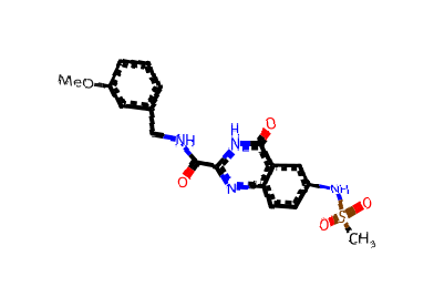 COc1cccc(CNC(=O)c2nc3ccc(NS(C)(=O)=O)cc3c(=O)[nH]2)c1